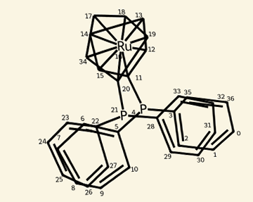 c1ccc(P(c2ccccc2)[C]23[CH]4[CH]5[CH]6[CH]2[Ru]56432789[CH]3[CH]2[CH]7[C]8(P(c2ccccc2)c2ccccc2)[CH]39)cc1